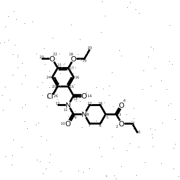 CCOC(=O)C1CCN(C(=O)N(C)C(=O)c2cc(OCC)c(OC)cc2Cl)CC1